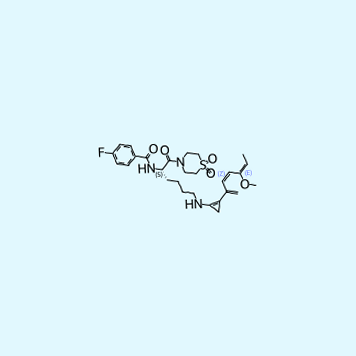 C=C(/C=C\C(=C/C)OC)C1=C(NCCCC[C@H](NC(=O)c2ccc(F)cc2)C(=O)N2CCS(=O)(=O)CC2)C1